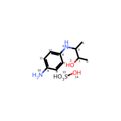 CC(O)C(C)Nc1ccc(N)cc1.O=S(=O)(O)O